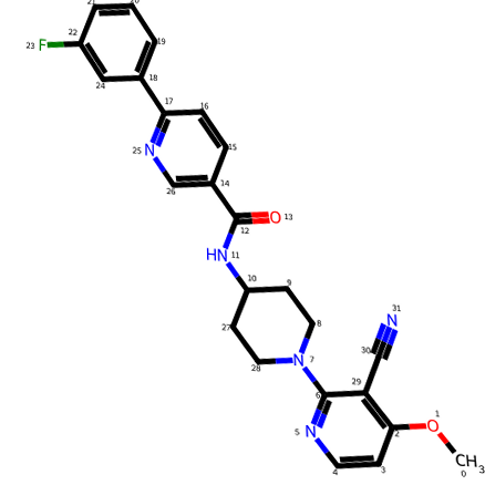 COc1ccnc(N2CCC(NC(=O)c3ccc(-c4cccc(F)c4)nc3)CC2)c1C#N